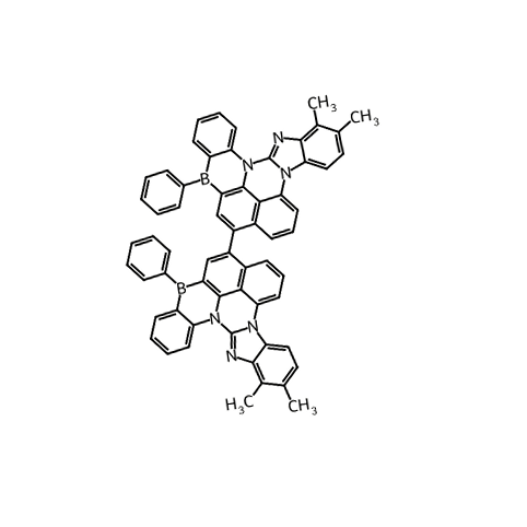 Cc1ccc2c(nc3n4c5c(cc(-c6cc7c8c9c6cccc9n6c9ccc(C)c(C)c9nc6n8-c6ccccc6B7c6ccccc6)c6cccc(c65)n23)B(c2ccccc2)c2ccccc2-4)c1C